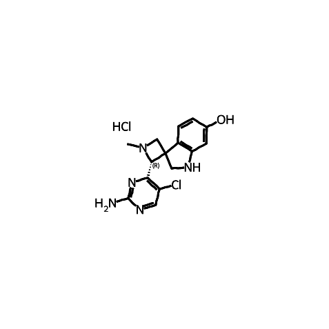 CN1CC2(CNc3cc(O)ccc32)[C@@H]1c1nc(N)ncc1Cl.Cl